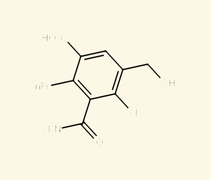 CCCc1c(C(=O)O)cc(CO)c(C)c1C(N)=O